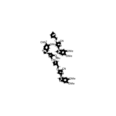 CC[C@@H](C)Oc1cc(-n2cnc3cc(OC)c(OC)cc32)sc1C#N.COc1cc2ncn(-c3cc(OCc4cccs4)c(C#N)s3)c2cc1OC.COc1cc2ncn(-c3cc(OCc4ccsc4)c(C#N)s3)c2cc1OC